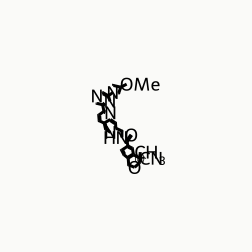 COC1CN(c2cncc(-c3ccc4cnc(CNC(=O)c5ccc6c(c5)[C@](C)(C#N)COC6)cc4n3)n2)C1